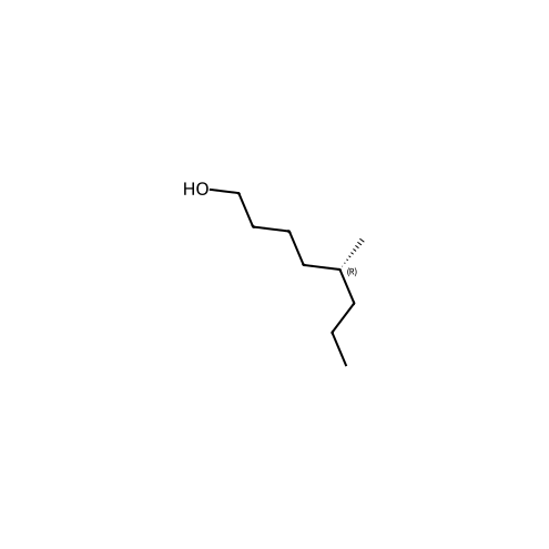 CCC[C@@H](C)CCCCO